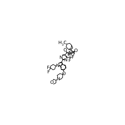 CC1CC2CC(C1)C(NC(=O)c1cnc(-c3cn(C4CCC(F)(F)CC4)c4cc(OC5CCN(C6CCOC6)CC5)ccc34)nc1C(F)(F)F)(C(=O)O)C2